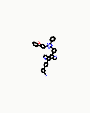 N#Cc1cccc(-c2ccc(-c3cc4c5cccnc5c(-c5cccc(-c6nc(-c7ccccc7)nc(-c7ccc8c(c7)oc7ccccc78)n6)c5)cc4c4cccnc34)cc2)c1